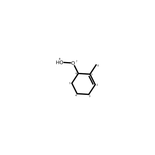 CC1=CCCCC1OO